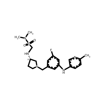 Cc1ccc(Nc2cc(F)cc(CN3CC[C@H](NCS(=O)(=O)N(C)C)C3)c2)cn1